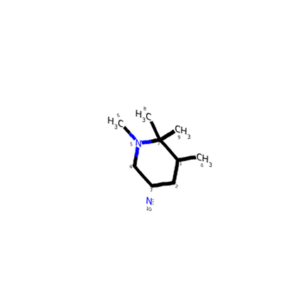 CC1CCCN(C)C1(C)C.[N]